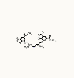 COC(=O)c1cc(OC[C@@H](N)C/C=C\C[C@H](N)COc2cc(C(=O)OC)cc([N+](=O)[O-])c2Cl)c(Cl)c([N+](=O)[O-])c1